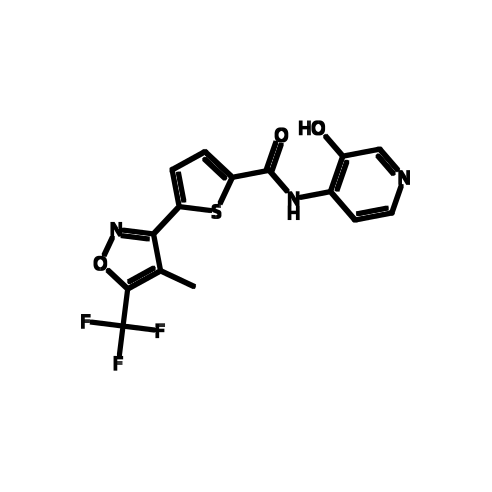 Cc1c(-c2ccc(C(=O)Nc3ccncc3O)s2)noc1C(F)(F)F